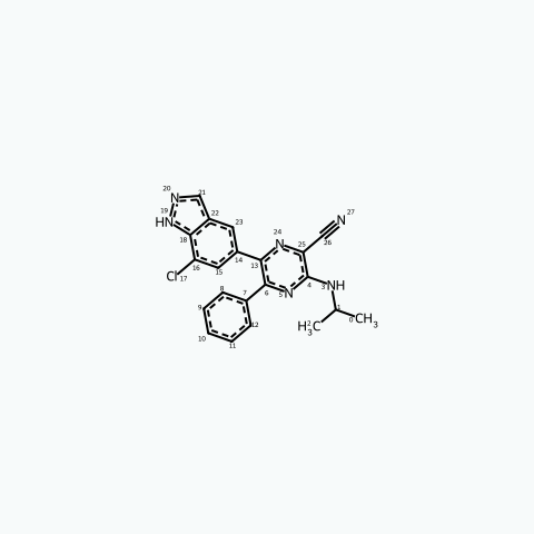 CC(C)Nc1nc(-c2ccccc2)c(-c2cc(Cl)c3[nH]ncc3c2)nc1C#N